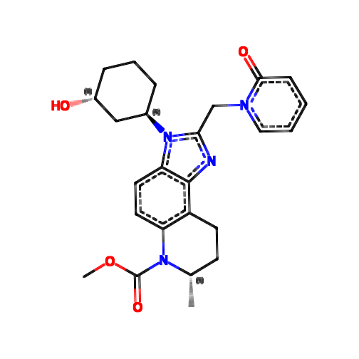 COC(=O)N1c2ccc3c(nc(Cn4ccccc4=O)n3[C@@H]3CCC[C@@H](O)C3)c2CC[C@@H]1C